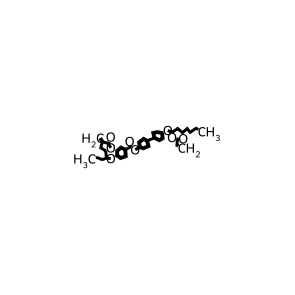 C=CC(=O)OC(CCCCCC)Oc1ccc(-c2ccc(OC(=O)c3ccc(OC(CCC)C4CC(=C)C(=O)O4)cc3)cc2)cc1